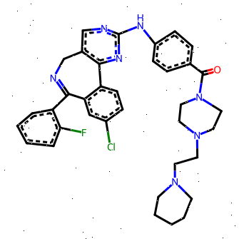 O=C(c1ccc(Nc2ncc3c(n2)-c2ccc(Cl)cc2C(c2ccccc2F)=NC3)cc1)N1CCN(CCN2CCCCC2)CC1